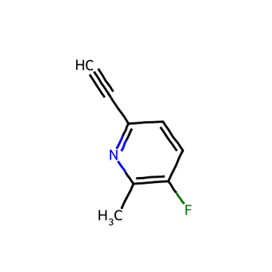 C#Cc1ccc(F)c(C)n1